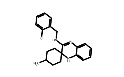 CC1CCC2(CC1)Nc1ccccc1N=C2NCc1ccccc1Cl